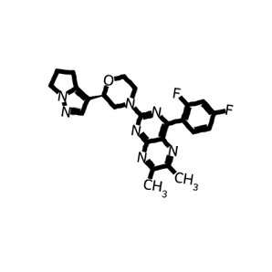 Cc1nc2nc(N3CCO[C@H](c4cnn5c4CCC5)C3)nc(-c3ccc(F)cc3F)c2nc1C